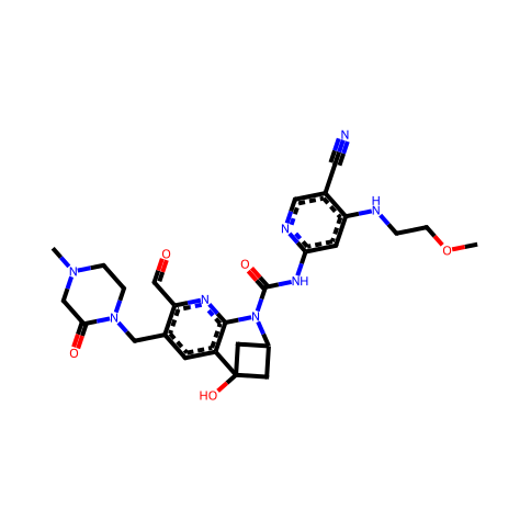 COCCNc1cc(NC(=O)N2c3nc(C=O)c(CN4CCN(C)CC4=O)cc3C3(O)CC2C3)ncc1C#N